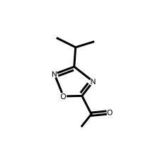 CC(=O)c1nc(C(C)C)no1